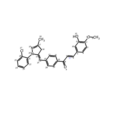 COc1ccc(/C=C/C(=O)c2ccc(N=C3CC(C)=NN3c3ccccc3Cl)cc2)cc1O